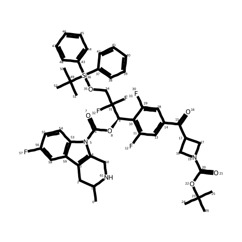 CC1Cc2c(n(C(=O)O[C@H](c3c(F)cc(C(=O)C4CN(C(=O)OC(C)(C)C)C4)cc3F)C(F)(F)CO[Si](c3ccccc3)(c3ccccc3)C(C)(C)C)c3ccc(F)cc23)CN1